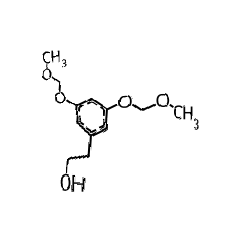 COCOc1cc(CCO)cc(OCOC)c1